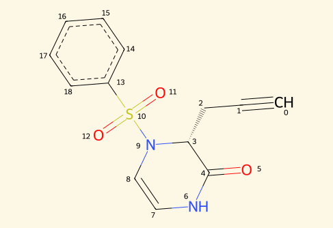 C#CC[C@@H]1C(=O)NC=CN1S(=O)(=O)c1ccccc1